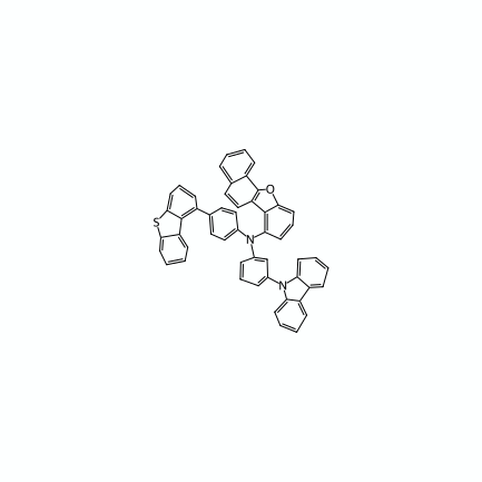 c1cc(N(c2ccc(-c3cccc4sc5ccccc5c34)cc2)c2cccc3oc4c5ccccc5ccc4c23)cc(-n2c3ccccc3c3ccccc32)c1